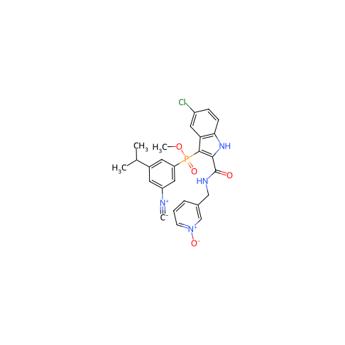 [C-]#[N+]c1cc(C(C)C)cc(P(=O)(OC)c2c(C(=O)NCc3ccc[n+]([O-])c3)[nH]c3ccc(Cl)cc23)c1